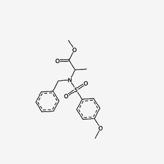 COC(=O)C(C)N(Cc1ccccc1)S(=O)(=O)c1ccc(OC)cc1